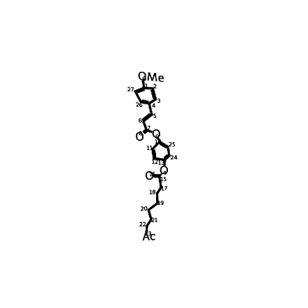 COc1ccc(C=CC(=O)Oc2ccc(OC(=O)CCCCCCC(C)=O)cc2)cc1